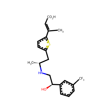 C/C(=C\C(=O)O)c1ccc(C[C@@H](C)NC[C@H](O)c2cccc(C(F)(F)F)c2)s1